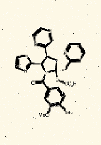 COc1cc(C(=O)N2[C@@H](c3nccs3)[C@@H](c3cnccn3)C[C@@]2(Cc2ccccn2)OC(=O)O)ccc1C(C)(C)C